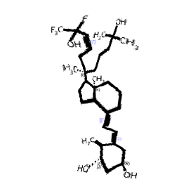 C=C1/C(=C\C=C2/CCC[C@@]3(C)C2CCC3[C@@](C)(C/C=C\C(O)(F)C(F)(F)F)CCCC(C)(C)O)C[C@@H](O)C[C@@H]1O